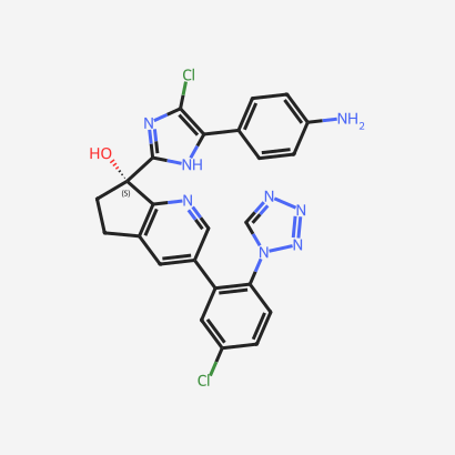 Nc1ccc(-c2[nH]c([C@]3(O)CCc4cc(-c5cc(Cl)ccc5-n5cnnn5)cnc43)nc2Cl)cc1